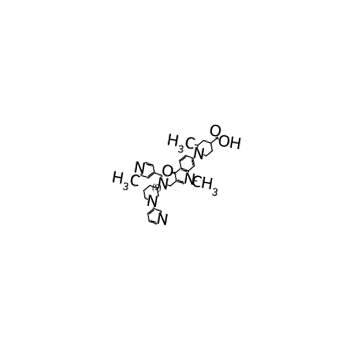 Cc1cc(CN(Cc2cn(C)c3cc(N4CCC(C(=O)O)CC4C)ccc3c2=O)[C@H]2CCCN(c3cccnc3)C2)ccn1